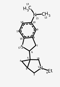 CCN1CC2CC2(C2Cc3cc(N(C)C)ccc3S2)C1